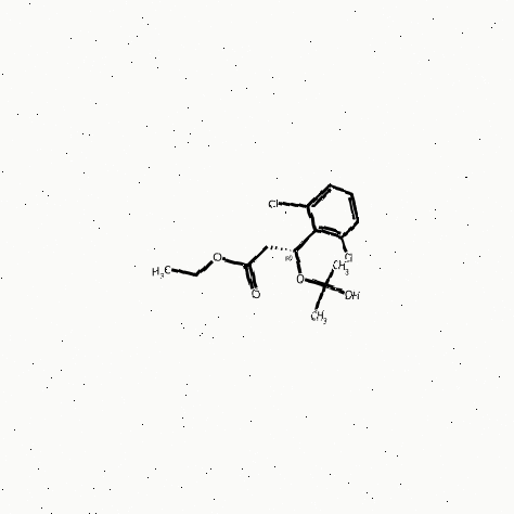 CCOC(=O)C[C@@H](OC(C)(C)O)c1c(Cl)cccc1Cl